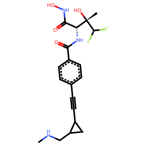 CNCC1CC1C#Cc1ccc(C(=O)N[C@H](C(=O)NO)[C@](C)(O)C(F)F)cc1